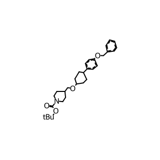 CC(C)(C)OC(=O)N1CCC(COC2CCC(c3ccc(OCc4ccccc4)cc3)CC2)CC1